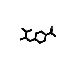 CC(=O)N1CCC(CC(C)C(C)C)CC1